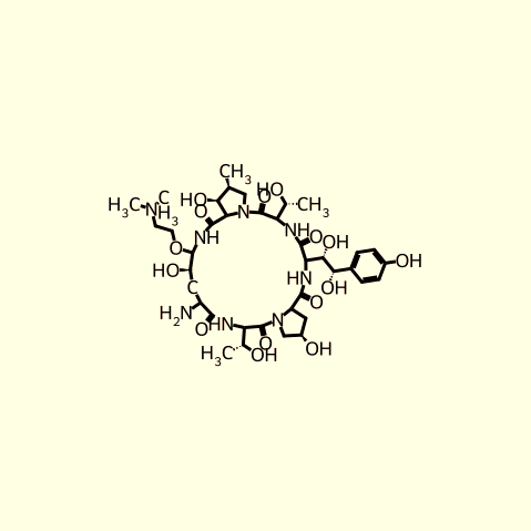 C[C@@H](O)C1NC(=O)C(N)C[C@@H](O)C(OCCN(C)C)NC(=O)C2[C@@H](O)[C@@H](C)CN2C(=O)C([C@@H](C)O)NC(=O)C([C@H](O)[C@@H](O)c2ccc(O)cc2)NC(=O)C2C[C@@H](O)CN2C1=O